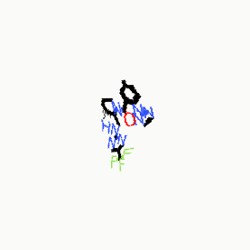 Cc1ccc(-n2nccn2)c(C(=O)N2CCC[C@@H](C)C2CNc2ncc(C(F)(F)F)cn2)c1